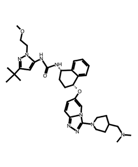 COCCn1nc(C(C)(C)C)cc1NC(=O)N[C@H]1CC[C@@H](Oc2ccc3nnc(N4CCC(CN(C)C)CC4)n3c2)c2ccccc21